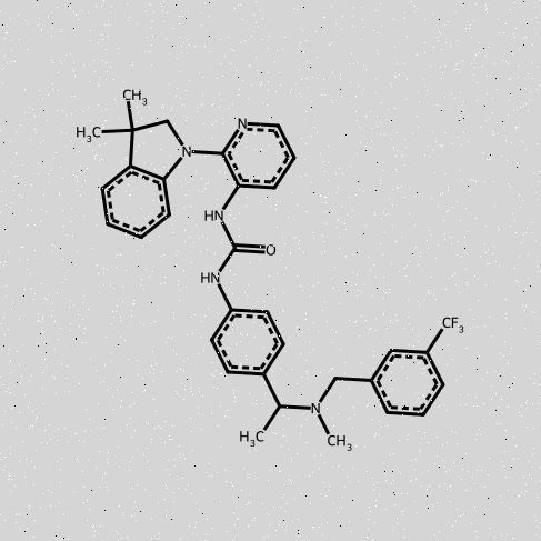 CC(c1ccc(NC(=O)Nc2cccnc2N2CC(C)(C)c3ccccc32)cc1)N(C)Cc1cccc(C(F)(F)F)c1